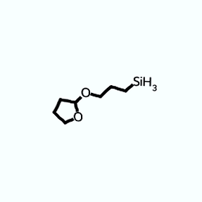 [SiH3]CCCOC1CCCO1